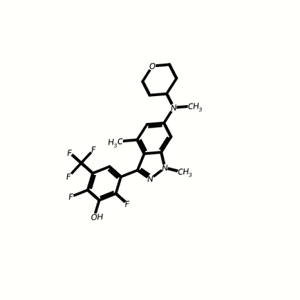 Cc1cc(N(C)C2CCOCC2)cc2c1c(-c1cc(C(F)(F)F)c(F)c(O)c1F)nn2C